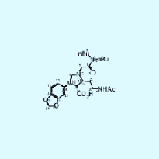 CCCCN(CCCC)C(=O)CN1C[C@H](c2ccc3c(c2)OCO3)[C@@H](C(=O)O)[C@@H]1CCNC(C)=O